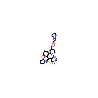 O=C1CCCN1c1sc2ncnc(N3CCC(COCCN4CCCC4)CC3)c2c1-c1ccccc1